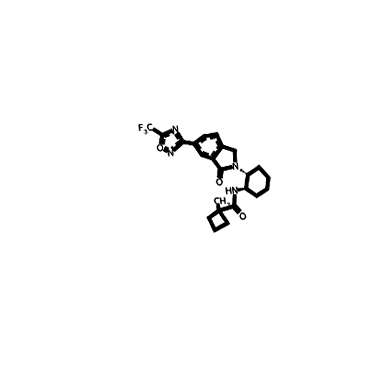 CC1(C(=O)N[C@@H]2CCCC[C@H]2N2Cc3ccc(-c4noc(C(F)(F)F)n4)cc3C2=O)CCC1